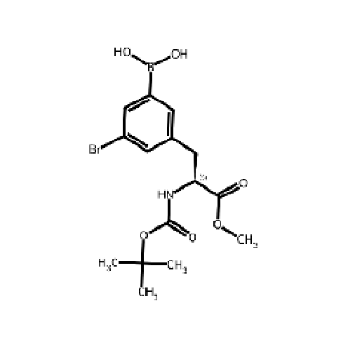 COC(=O)[C@H](Cc1cc(Br)cc(B(O)O)c1)NC(=O)OC(C)(C)C